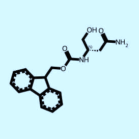 NC(=O)C[C@@H](CO)NC(=O)OCC1c2ccccc2-c2ccccc21